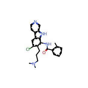 Cc1ccccc1C(=O)Nc1c(CCCN(C)C)c(Cl)cc2c1[nH]c1cnccc12